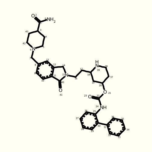 NC(=O)C1CCN(Cc2ccc3c(c2)CN(CCC2CC(OC(=O)Nc4ccccc4-c4ccccc4)CCN2)C3=O)CC1